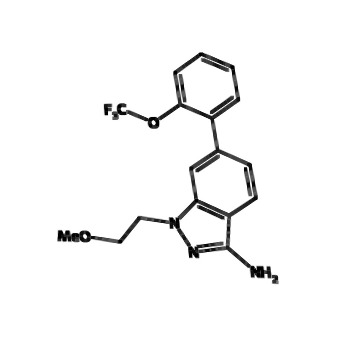 COCCn1nc(N)c2ccc(-c3ccccc3OC(F)(F)F)cc21